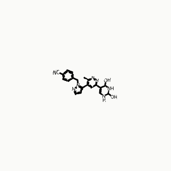 Cc1nnc(C2=CNC(O)NC2O)cc1-c1ccnn1Cc1ccc(C#N)cc1